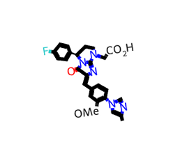 COc1cc(/C=C2\N=C3N(CC(=O)O)CC[C@H](c4ccc(F)cc4)N3C2=O)ccc1-n1cnc(C)c1